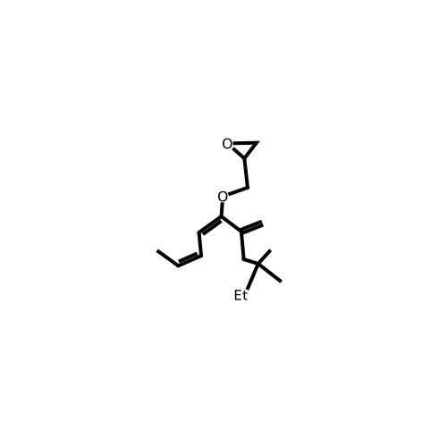 C=C(CC(C)(C)CC)/C(=C\C=C/C)OCC1CO1